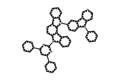 c1ccc(-c2cc(-c3ccccc3)nc(-n3c4ccccc4c4c3ccc3c5ccccc5n(-c5ccc6c(c5)c5cnccc5n6-c5ccccc5)c34)n2)cc1